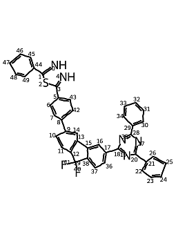 N=C(SC(=N)c1ccc(-c2ccc3c(c2)-c2cc(-c4nc(-c5ccccc5)nc(-c5ccccc5)n4)ccc2C3(F)F)cc1)c1ccccc1